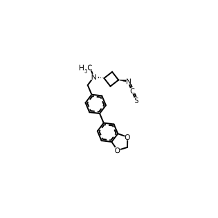 CN(Cc1ccc(-c2ccc3c(c2)OCO3)cc1)[C@H]1C[C@H](N=C=S)C1